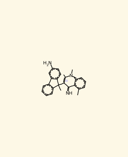 C/C(=C(/C(=N)c1c(C)cccc1C)C1(C)c2ccccc2-c2cc(N)ccc21)N(C)C